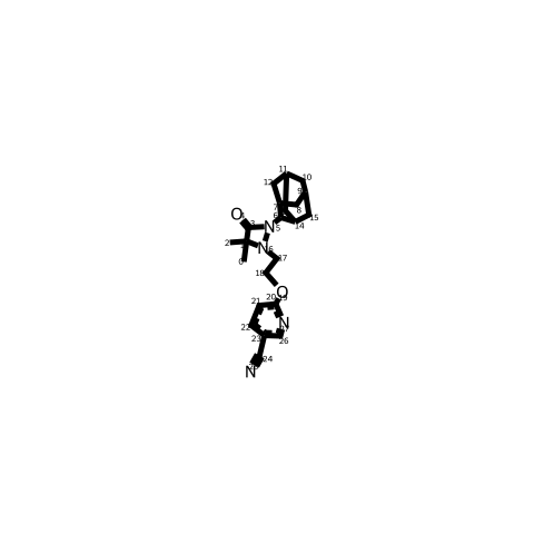 CC1(C)C(=O)N(C2C3CC4CC(C3)CC2C4)N1CCOc1ccc(C#N)cn1